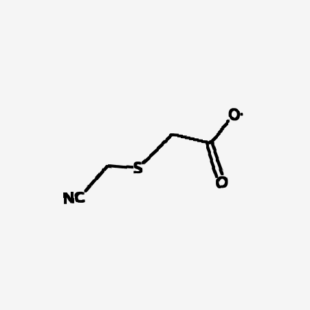 N#CCSCC([O])=O